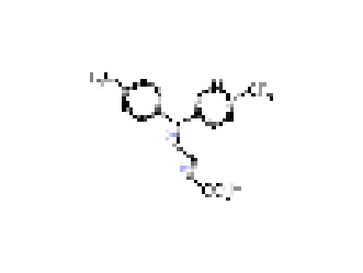 O=C(O)/C=C/C=C(/c1ccc(C(F)(F)F)cc1)c1ccc(C(F)(F)F)nc1